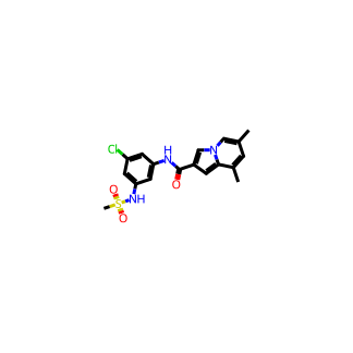 Cc1cc(C)c2cc(C(=O)Nc3cc(Cl)cc(NS(C)(=O)=O)c3)cn2c1